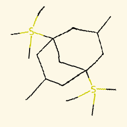 CC1CC2(S(C)(C)C)CC(C)CC(S(C)(C)C)(C1)C2